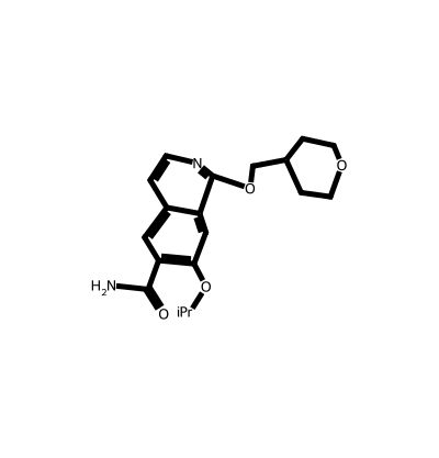 CC(C)Oc1cc2c(OCC3CCOCC3)nccc2cc1C(N)=O